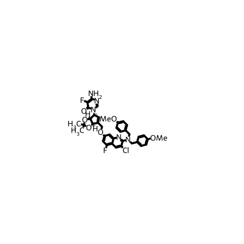 COc1ccc(CN(Cc2ccc(OC)cc2)c2nc3cc(OCC4=C[C@@H](n5cnc(N)c(F)c5=O)[C@@H]5OC(C)(C)O[C@H]45)cc(F)c3cc2Cl)cc1